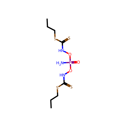 CCCSC(=S)NOP(N)(=O)ONC(=S)SCCC